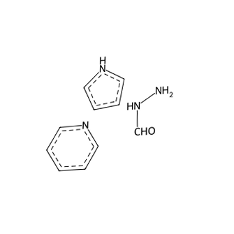 NNC=O.c1cc[nH]c1.c1ccncc1